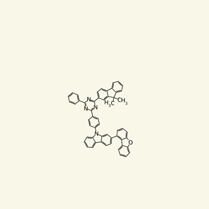 CC1(C)c2ccccc2-c2ccc(-c3nc(-c4ccccc4)nc(-c4ccc(-n5c6ccccc6c6ccc(-c7cccc8oc9ccccc9c78)cc65)cc4)n3)cc21